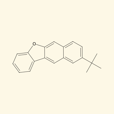 CC(C)(C)c1ccc2cc3oc4ccccc4c3cc2c1